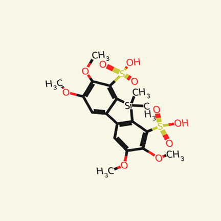 COc1cc2c(c(S(=O)(=O)O)c1OC)[Si](C)(C)c1c-2cc(OC)c(OC)c1S(=O)(=O)O